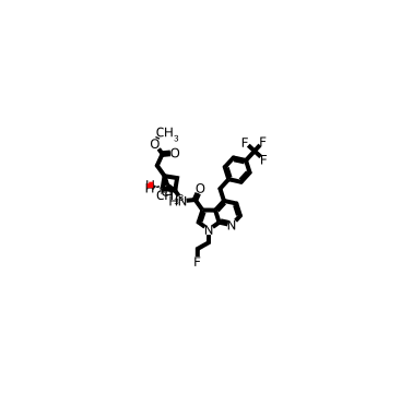 COC(=O)CC12CC(NC(=O)c3cn(CCF)c4nccc(Cc5ccc(C(F)(F)F)cc5)c34)([C@H]1C)[C@H]2C